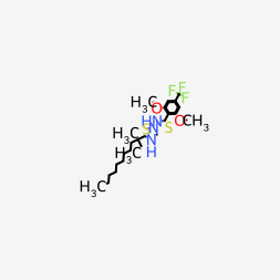 CCCCCCCCCC(C)(CC)C1NCN(NC(=S)c2c(OC)cc(C(F)(F)F)cc2OC)S1